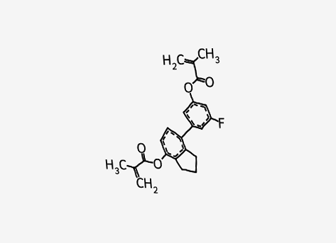 C=C(C)C(=O)Oc1cc(F)cc(-c2ccc(OC(=O)C(=C)C)c3c2CCC3)c1